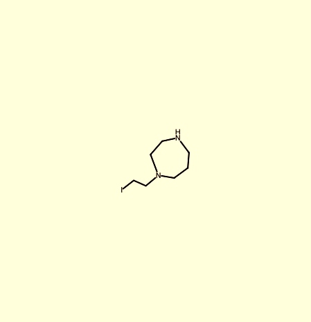 ICCN1CCCNCC1